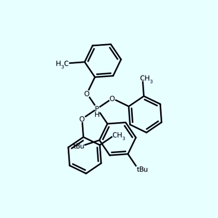 Cc1ccccc1O[PH](Oc1ccccc1C)(Oc1ccccc1C)c1ccc(C(C)(C)C)cc1C(C)(C)C